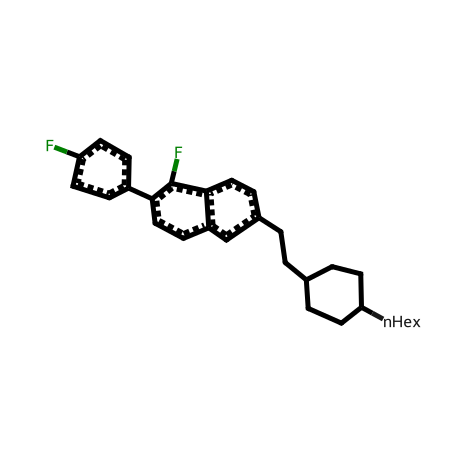 CCCCCCC1CCC(CCc2ccc3c(F)c(-c4ccc(F)cc4)ccc3c2)CC1